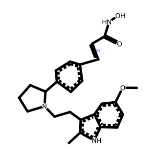 COc1ccc2[nH]c(C)c(CCN3CCCC3c3ccc(/C=C/C(=O)NO)cc3)c2c1